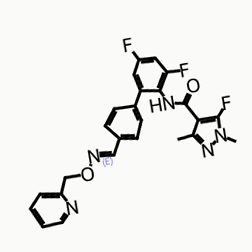 Cc1nn(C)c(F)c1C(=O)Nc1c(F)cc(F)cc1-c1ccc(/C=N/OCc2ccccn2)cc1